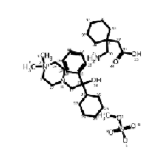 COS(=O)(=O)[O-].C[N+]1(C)CCN(CC(O)(c2ccccc2)C2CCCCC2)CC1.NCC1(CC(=O)O)CCCCC1